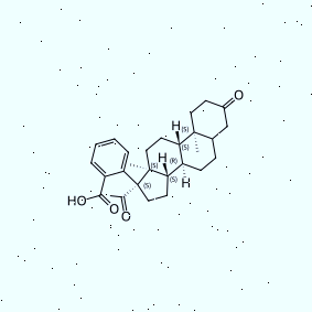 CC(=O)[C@@]1(c2ccccc2C(=O)O)CC[C@H]2[C@@H]3CCC4CC(=O)CC[C@]4(C)[C@H]3CC[C@@]21C